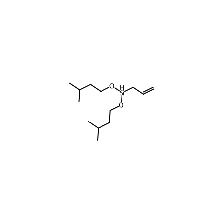 C=CC[SiH](OCCC(C)C)OCCC(C)C